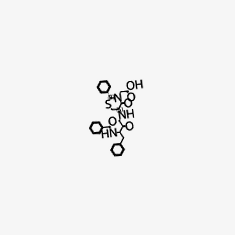 O=C(O)CN1C(=O)[C@H](NCC(=O)C(Cc2ccccc2)NC(=O)c2ccccc2)CS[C@@H]1c1ccccc1